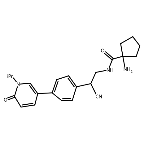 CC(C)n1cc(-c2ccc(C(C#N)CNC(=O)C3(N)CCCC3)cc2)ccc1=O